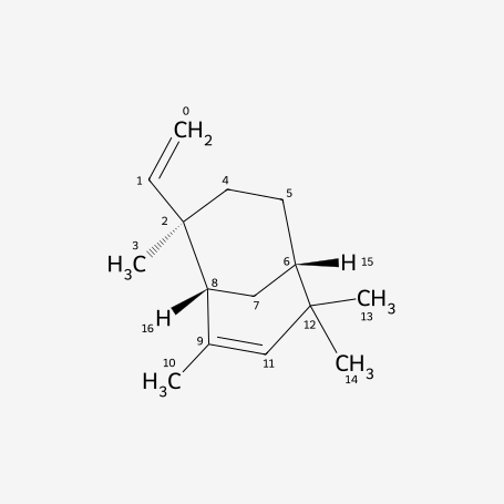 C=C[C@@]1(C)CC[C@H]2C[C@@H]1C(C)=CC2(C)C